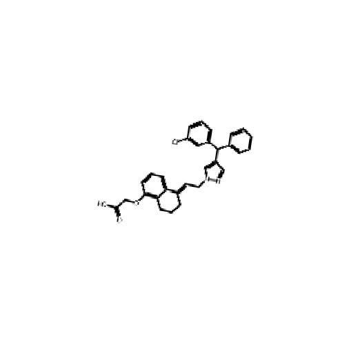 O=C(O)COc1cccc2c1CCCC2=CCn1cc(C(c2ccccc2)c2cccc(Cl)c2)cn1